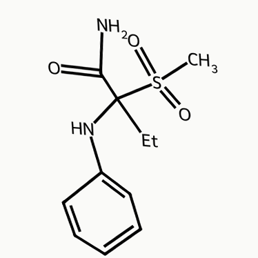 CCC(Nc1ccccc1)(C(N)=O)S(C)(=O)=O